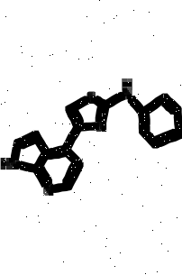 c1ccc(Nc2nc(-c3ccnc4[nH]ccc34)cs2)cc1